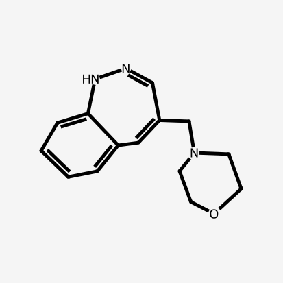 C1=NNc2ccccc2C=C1CN1CCOCC1